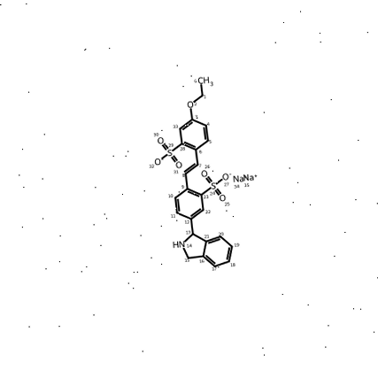 CCOc1ccc(C=Cc2ccc(C3NCc4ccccc43)cc2S(=O)(=O)[O-])c(S(=O)(=O)[O-])c1.[Na+].[Na+]